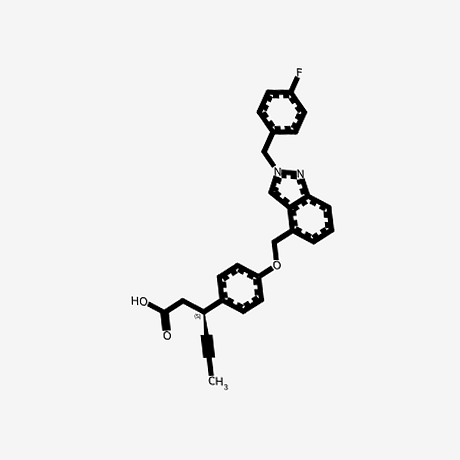 CC#C[C@@H](CC(=O)O)c1ccc(OCc2cccc3nn(Cc4ccc(F)cc4)cc23)cc1